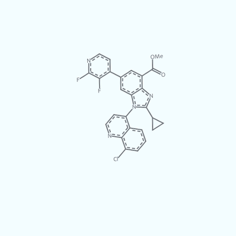 COC(=O)c1cc(-c2ccnc(F)c2F)cc2c1nc(C1CC1)n2-c1ccnc2c(Cl)cccc12